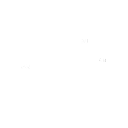 Oc1ccc2c(c1O)CCC1NCCCC21